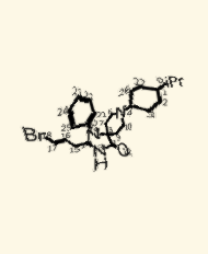 CC(C)C1CCC(N2CCC3(CC2)C(=O)NC(CC=CBr)N3c2ccccc2)CC1